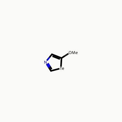 COc1cnc[te]1